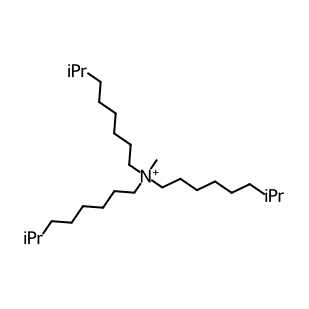 CC(C)CCCCCC[N+](C)(CCCCCCC(C)C)CCCCCCC(C)C